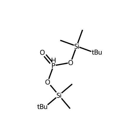 CC(C)(C)[Si](C)(C)O[PH](=O)O[Si](C)(C)C(C)(C)C